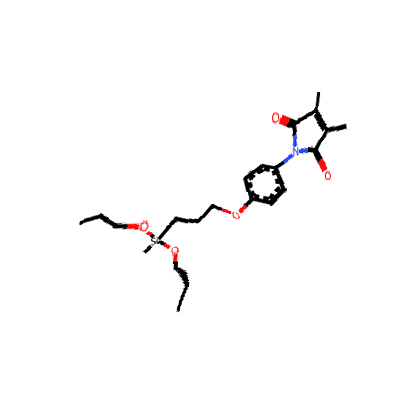 CCCO[Si](C)(CCCOc1ccc(N2C(=O)C(C)=C(C)C2=O)cc1)OCCC